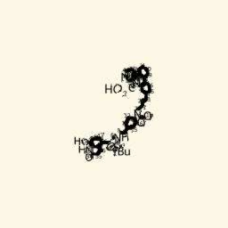 CC(C)(C)[Si](C)(C)O[C@@H](CNCCc1ccc2c(c1)oc(=O)n2CC/C=C/c1ccc(-c2ccccc2)c(N(C(=O)O)[C@H]2CN3CCC2CC3)c1)c1ccc(O)c2[nH]c(=O)ccc12